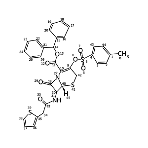 Cc1ccc(S(=O)(=O)OC2=C(C(=O)OC(c3ccccc3)c3ccccc3)N3C(=O)C(NC(=O)Cc4cccs4)[C@H]3SC2)cc1